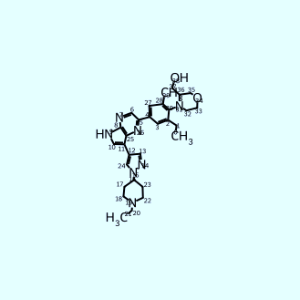 CCc1cc(-c2cnc3[nH]cc(-c4cnn(C5CCN(CC)CC5)c4)c3n2)cc(C)c1N1CCOCC1CO